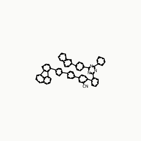 N#Cc1cc(-c2ccc(-c3ccc(-c4cccc5c4-c4cccc6cccc-5c46)cc3)cc2)ccc1-c1ccccc1-c1nc(-c2ccccc2)nc(-c2ccc(-c3ccc4ccccc4c3)cc2)n1